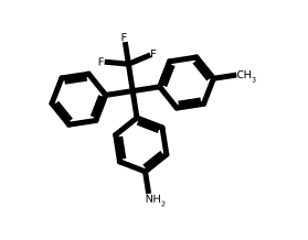 Cc1ccc(C(c2ccccc2)(c2ccc(N)cc2)C(F)(F)F)cc1